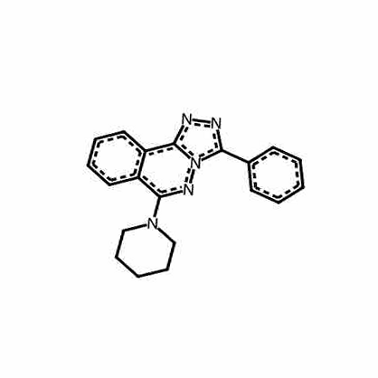 c1ccc(-c2nnc3c4ccccc4c(N4CCCCC4)nn23)cc1